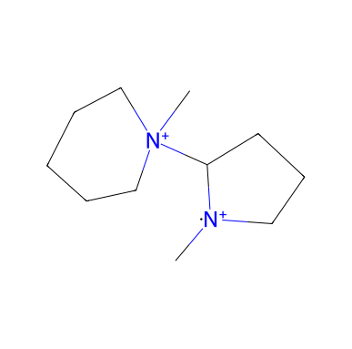 C[N+]1CCCC1[N+]1(C)CCCCC1